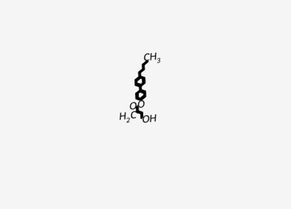 C=C(CCO)C(=O)Oc1ccc(-c2ccc(CCCCC)cc2)cc1